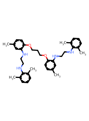 Cc1ccc(OCCCOc2ccc(C)cc2NCCNc2c(C)cccc2C)c(NCCNc2c(C)cccc2C)c1